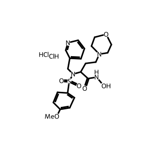 COc1ccc(S(=O)(=O)N(Cc2cccnc2)C(CCN2CCOCC2)C(=O)NO)cc1.Cl.Cl